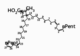 CCCCC/C=C\C/C=C\CCCCCCCCC1(CCCCCCCC/C=C\C/C=C\CCCCC)CN(C(=O)O)C1C